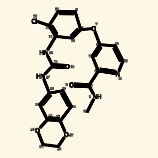 CNC(=O)c1cc(Oc2ccc(Cl)c(NC(=O)Nc3ccc4c(c3)OCCO4)c2)ccn1